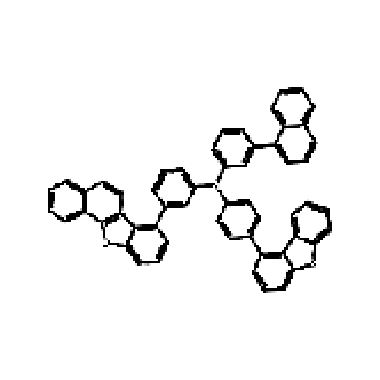 c1cc(-c2cccc3ccccc23)cc(N(c2ccc(-c3cccc4sc5ccccc5c34)cc2)c2cccc(-c3cccc4oc5c6ccccc6ccc5c34)c2)c1